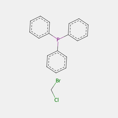 ClCBr.c1ccc(P(c2ccccc2)c2ccccc2)cc1